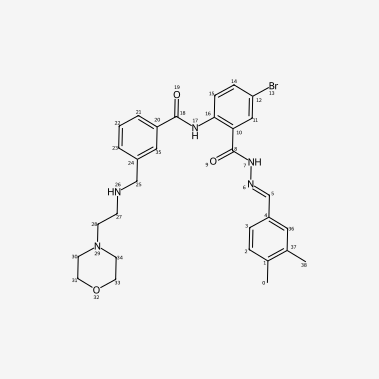 Cc1ccc(/C=N/NC(=O)c2cc(Br)ccc2NC(=O)c2cccc(CNCCN3CCOCC3)c2)cc1C